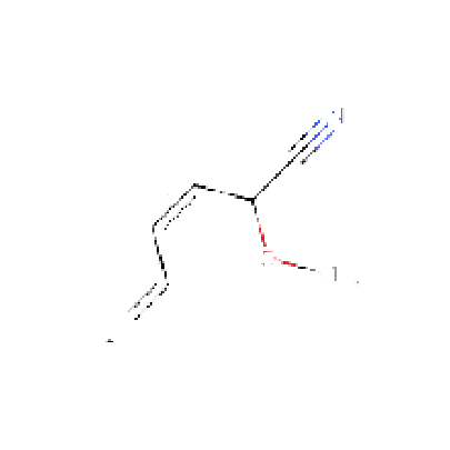 C=C/C=C\C(C#N)OC